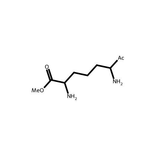 COC(=O)C(N)CCCC(N)C(C)=O